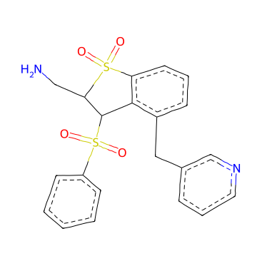 NCC1C(S(=O)(=O)c2ccccc2)c2c(Cc3cccnc3)cccc2S1(=O)=O